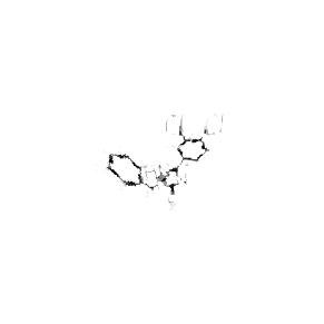 S=c1nc(-c2ccc(Cl)c(Cl)c2)[nH]n1Cc1ccccc1